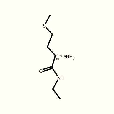 CCNC(=O)[C@@H](N)CCSC